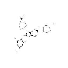 C[C@]1(C(N)=O)CC[C@@H](n2c(Nc3c(Cl)cc(C#N)cc3Cl)nc3cnc(N[C@H]4CCC[C@H](O)C4)nc32)CC1